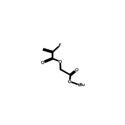 C=C(F)C(=O)OCC(=O)OC(C)(C)C